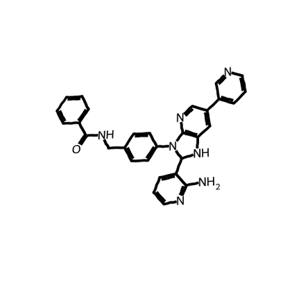 Nc1ncccc1C1Nc2cc(-c3cccnc3)cnc2N1c1ccc(CNC(=O)c2ccccc2)cc1